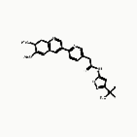 COC1=Cc2cc(-c3ccc(CC(=O)Nc4cc(C(C)(C)C(F)(F)F)no4)cn3)cnc2CC1OC